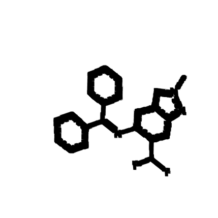 Cn1cc2cc(N=C(c3ccccc3)c3ccccc3)c(C(F)F)cc2n1